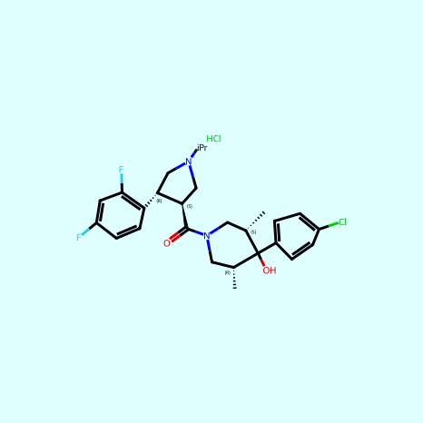 CC(C)N1C[C@@H](C(=O)N2C[C@@H](C)C(O)(c3ccc(Cl)cc3)[C@@H](C)C2)[C@H](c2ccc(F)cc2F)C1.Cl